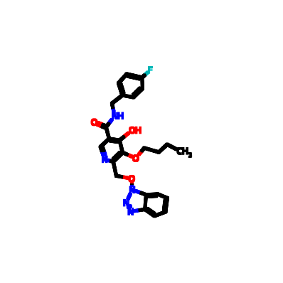 CCCCOc1c(COn2nnc3ccccc32)ncc(C(=O)NCc2ccc(F)cc2)c1O